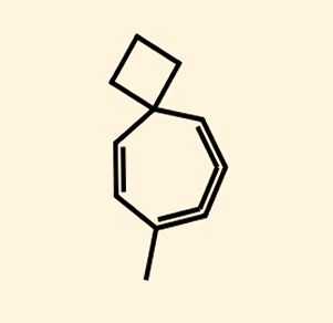 CC1=C=C=CC2(C=C1)CCC2